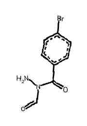 NN(C=O)C(=O)c1ccc(Br)cc1